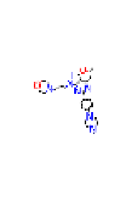 CC1Cc2nc(-c3ccc(N4CCN(C)CC4)cc3)nc(NCCCN3CCOCC3)c2CO1